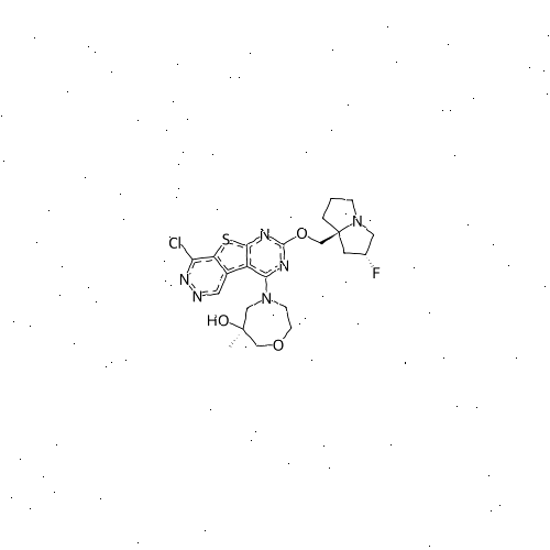 C[C@@]1(O)COCCN(c2nc(OC[C@@]34CCCN3C[C@H](F)C4)nc3sc4c(Cl)nncc4c23)C1